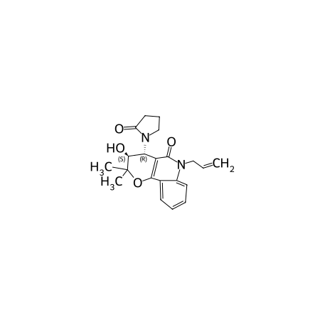 C=CCn1c(=O)c2c(c3ccccc31)OC(C)(C)[C@@H](O)[C@@H]2N1CCCC1=O